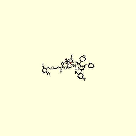 O=C(NCCOCCN1C(=O)C=CC1=O)O[C@@H]1CN(C(=O)N(C[C@@H]2CNC[C@@H]2F)[C@@H](c2nc(-c3cc(F)ccc3F)cn2Cc2ccccc2)C2CCOCC2)C[C@@H]1O